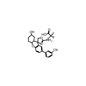 N#Cc1cccc(-c2ccc3c(c2)C2(COC(N)=N2)C2CC(O)CCC2O3)c1.O=C(O)C(F)(F)F